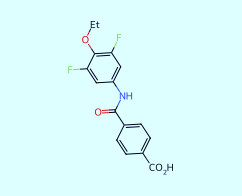 CCOc1c(F)cc(NC(=O)c2ccc(C(=O)O)cc2)cc1F